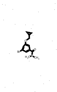 CN(C)C(=O)c1cc(Br)cc(OCC2CC2)c1